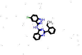 CCc1ccccc1-c1nc(Nc2n[nH]c3ccc(F)cc23)c2ccccc2n1